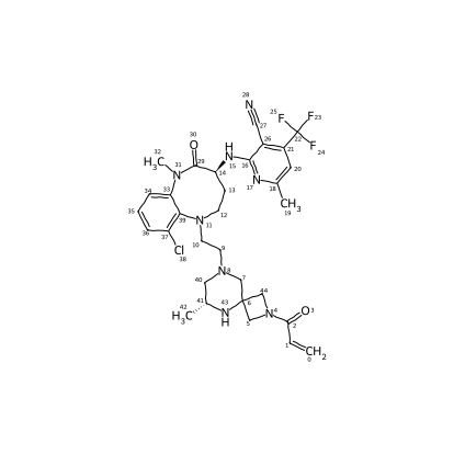 C=CC(=O)N1CC2(CN(CCN3CC[C@H](Nc4nc(C)cc(C(F)(F)F)c4C#N)C(=O)N(C)c4cccc(Cl)c43)C[C@@H](C)N2)C1